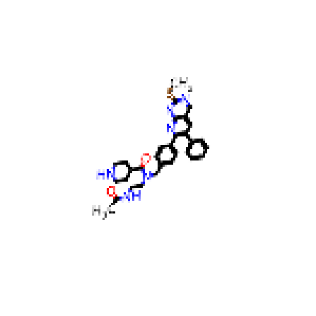 CSc1ncc2cc(-c3ccccc3)c(-c3ccc(CN(CCNC(C)=O)C(=O)C4CCNCC4)cc3)nc2n1